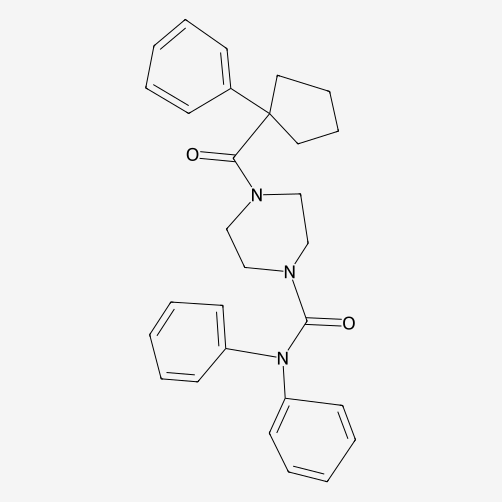 O=C(N1CCN(C(=O)C2(c3ccccc3)CCCC2)CC1)N(c1ccccc1)c1ccccc1